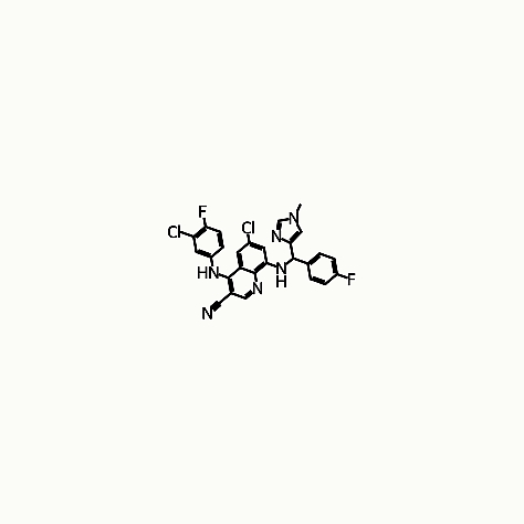 Cn1cnc(C(Nc2cc(Cl)cc3c(Nc4ccc(F)c(Cl)c4)c(C#N)cnc23)c2ccc(F)cc2)c1